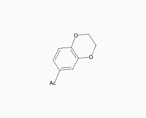 [CH2]C(=O)c1ccc2c(c1)OCCO2